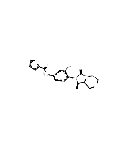 O=C(Nc1ccc(N2C(=O)C3COCCN3C2=S)c(Cl)c1)c1cccs1